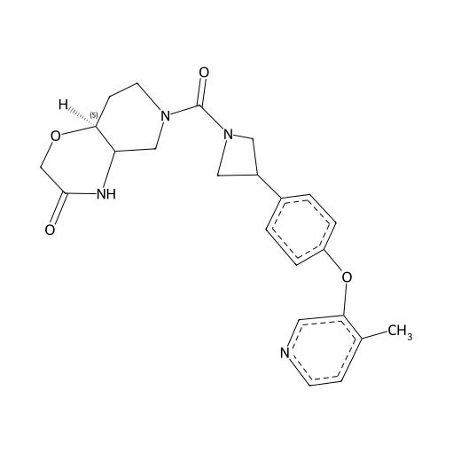 Cc1ccncc1Oc1ccc(C2CN(C(=O)N3CC[C@@H]4OCC(=O)NC4C3)C2)cc1